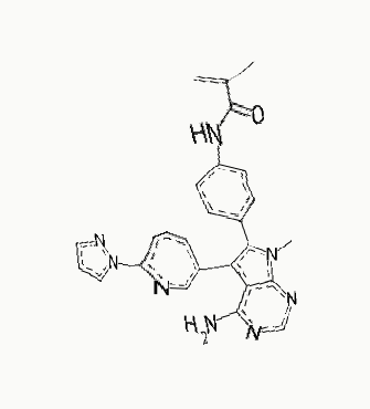 C=C(C)C(=O)Nc1ccc(-c2c(-c3ccc(-n4cccn4)nc3)c3c(N)ncnc3n2C)cc1